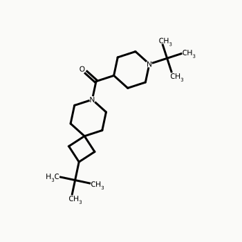 CC(C)(C)C1CC2(CCN(C(=O)C3CCN(C(C)(C)C)CC3)CC2)C1